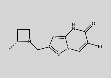 CCc1cn2nc(CN3CC[C@H]3C)cc2[nH]c1=O